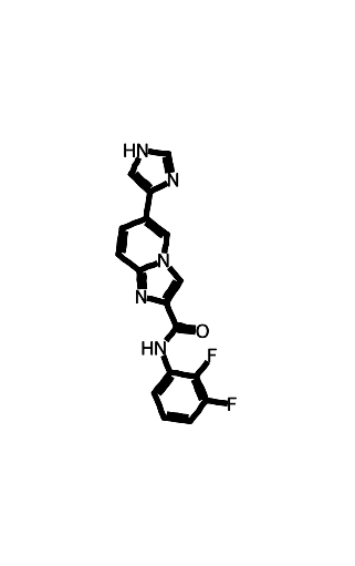 O=C(Nc1cccc(F)c1F)c1cn2cc(-c3c[nH]cn3)ccc2n1